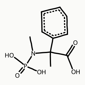 CN(C(C)(C(=O)O)c1ccccc1)P(=O)(O)O